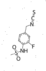 CS(=O)(=O)Nc1ccc(CN=C=S)cc1F